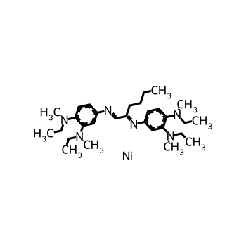 CCCCC(/C=N/c1ccc(N(C)CC)c(N(C)CC)c1)=N\c1ccc(N(C)CC)c(N(C)CC)c1.[Ni]